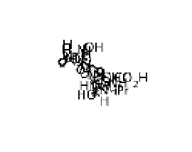 CC(C)C[C@H](NC(=O)[C@@H](NC(=O)CNC(=O)[C@H](Cc1ccc(O)cc1)NC(=O)[C@H](Cc1c[nH]c2ccccc12)NC(=O)[C@@H](N)CO)[C@@H](C)O)C(=O)NCC(=O)O